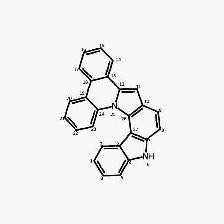 c1ccc2c(c1)[nH]c1ccc3cc4c5ccccc5c5ccccc5n4c3c12